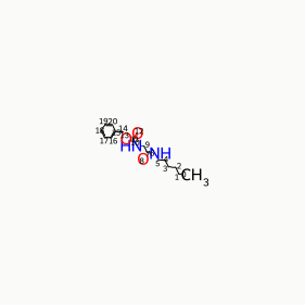 CCCCCCNC(=O)CNC(=O)OCc1ccccc1